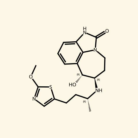 COc1ncc(CC[C@@H](C)N[C@@H]2CCn3c(=O)[nH]c4cccc(c43)[C@H]2O)s1